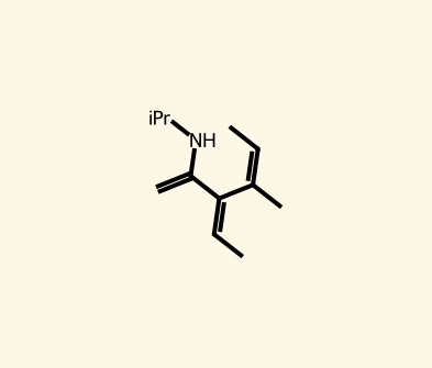 C=C(NC(C)C)C(=C/C)/C(C)=C\C